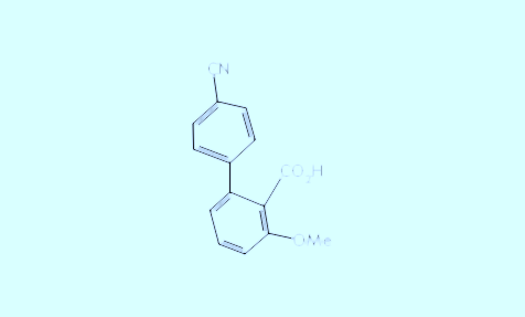 COc1cccc(-c2ccc(C#N)cc2)c1C(=O)O